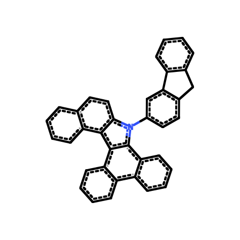 c1ccc2c(c1)Cc1ccc(-n3c4ccc5ccccc5c4c4c5ccccc5c5ccccc5c43)cc1-2